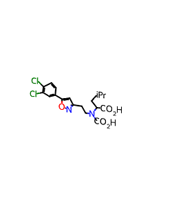 CC(C)CC(C(=O)O)N(CCc1cc(-c2ccc(Cl)c(Cl)c2)on1)C(=O)O